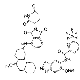 COc1cc2nn([C@H]3CC[C@H](CN(C)[C@H]4CC[C@H](Nc5cccc6c5C(=O)N(C5CCC(=O)NC5=O)C6=O)CC4)CC3)cc2cc1NC(=O)c1cccc(S(F)(F)(F)(F)F)n1